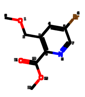 COCc1cc(Br)cnc1C(=O)OC